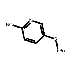 CCCCSc1ccc(C#N)nc1